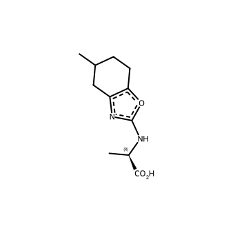 CC1CCc2oc(N[C@H](C)C(=O)O)nc2C1